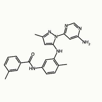 Cc1cccc(C(=O)Nc2ccc(C)c(Nc3cc(C)nn3-c3cc(N)ncn3)c2)c1